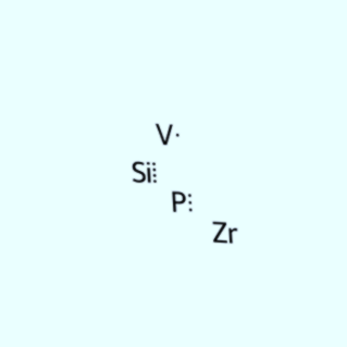 [P].[Si].[V].[Zr]